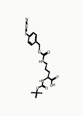 CC(C)(C)OC(=O)NC(CCCNC(=O)OCc1ccc(N=[N+]=[N-])cc1)C(=O)O